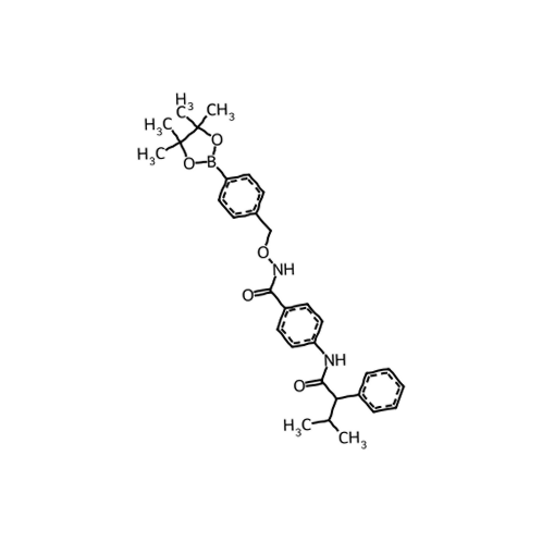 CC(C)C(C(=O)Nc1ccc(C(=O)NOCc2ccc(B3OC(C)(C)C(C)(C)O3)cc2)cc1)c1ccccc1